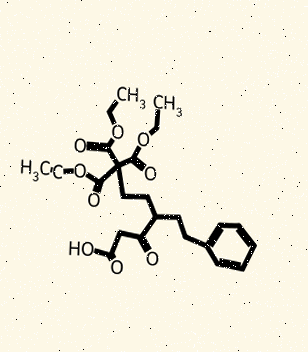 CCOC(=O)C(CCC(CCc1ccccc1)C(=O)CC(=O)O)(C(=O)OCC)C(=O)OCC